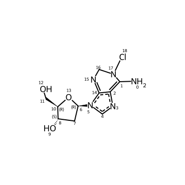 NC1=c2ncn([C@H]3C[C@H](O)[C@@H](CO)O3)c2=NCN1Cl